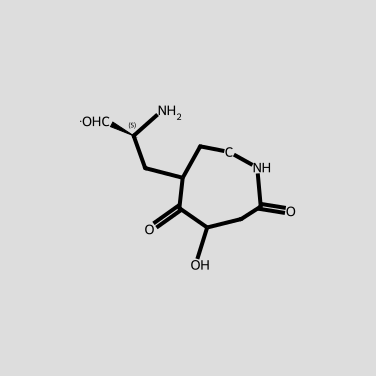 N[C@H]([C]=O)CC1CCNC(=O)CC(O)C1=O